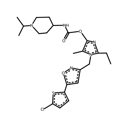 CCc1nc(OC(=O)NC2CCN(C(C)C)CC2)c(C)n1Cc1cc(-c2ccc(Cl)s2)on1